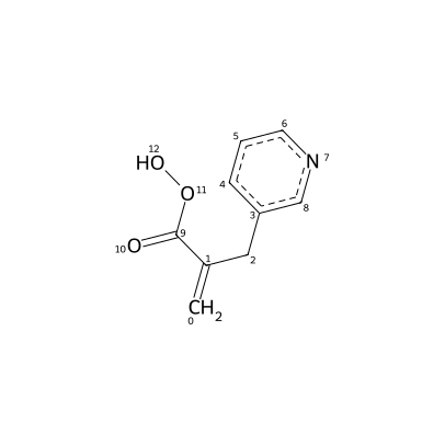 C=C(Cc1cccnc1)C(=O)OO